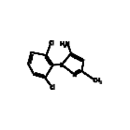 Cc1cc(N)n(-c2c(Cl)cccc2Cl)n1